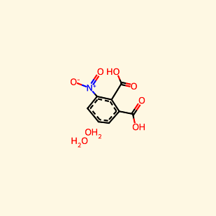 O.O.O=C(O)c1cccc([N+](=O)[O-])c1C(=O)O